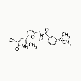 CCc1cc(C2CC=C(CNC(=O)c3cccc(N(C)C)c3)O2)c(C)[nH]c1=O